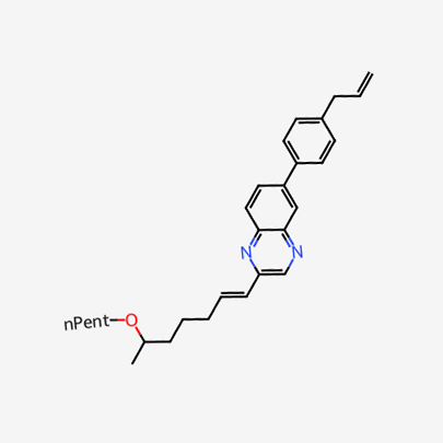 C=CCc1ccc(-c2ccc3nc(C=CCCCC(C)OCCCCC)cnc3c2)cc1